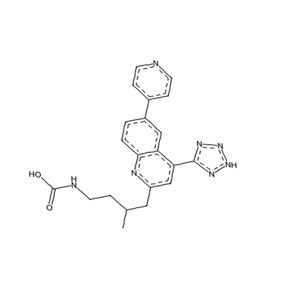 CC(CCNC(=O)O)Cc1cc(-c2nn[nH]n2)c2cc(-c3ccncc3)ccc2n1